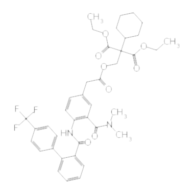 CCOC(=O)C(COC(=O)Cc1ccc(NC(=O)c2ccccc2-c2ccc(C(F)(F)F)cc2)c(C(=O)N(C)C)c1)(C(=O)OCC)C1CCCCC1